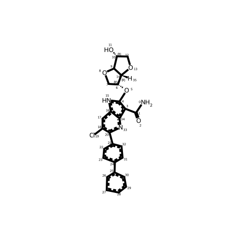 NC(=O)c1c(O[C@@H]2COC3[C@H](O)CO[C@@H]32)[nH]c2cc(Cl)c(-c3ccc(-c4ccccc4)cc3)nc12